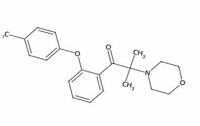 Cc1ccc(Oc2ccccc2C(=O)C(C)(C)N2CCOCC2)cc1